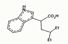 CCC(CC)CC(C(=O)O)c1c[nH]c2ccccc12